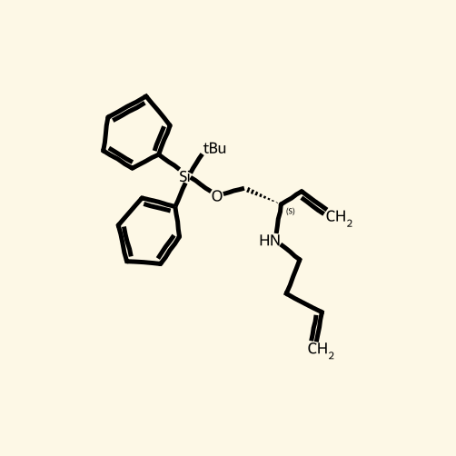 C=CCCN[C@@H](C=C)CO[Si](c1ccccc1)(c1ccccc1)C(C)(C)C